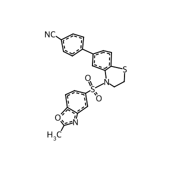 Cc1nc2cc(S(=O)(=O)N3CCSc4ccc(-c5ccc(C#N)cc5)cc43)ccc2o1